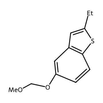 CCc1cc2cc(OCOC)ccc2s1